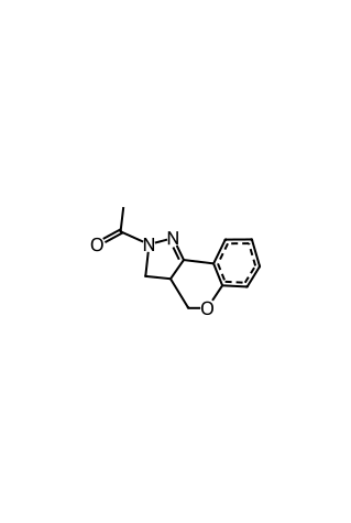 CC(=O)N1CC2COc3ccccc3C2=N1